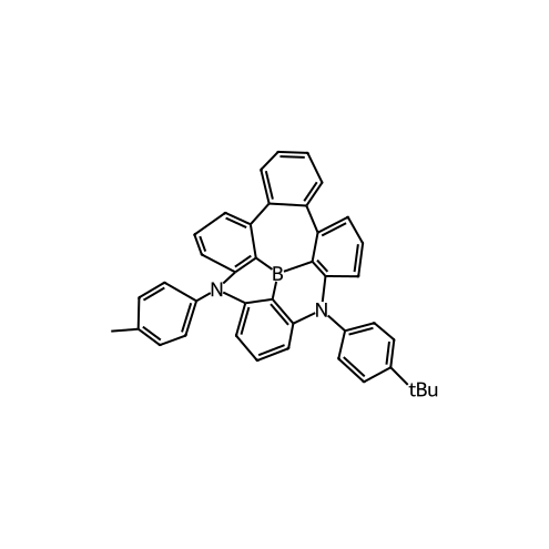 Cc1ccc(N2c3cccc4c3B3c5c(cccc5N(c5ccc(C(C)(C)C)cc5)c5cccc2c53)-c2ccccc2-4)cc1